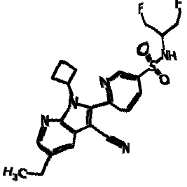 CCc1cnc2c(c1)c(C#N)c(-c1ccc(S(=O)(=O)NC(CF)CF)cn1)n2C1CCC1